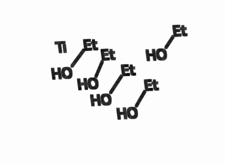 CCO.CCO.CCO.CCO.CCO.[Ti]